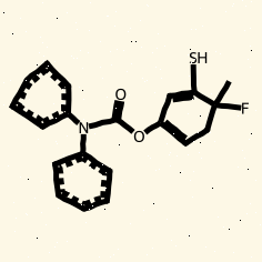 CC1(F)CC=C(OC(=O)N(c2ccccc2)c2ccccc2)C=C1S